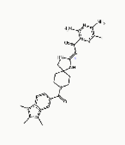 Cc1c(C)n(C)c2ccc(C(=O)N3CCC4(CC3)CN/C(=N\C(=O)c3nc(I)c(N)nc3N)N4)cc12